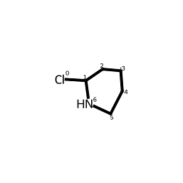 ClC1C[CH]CCN1